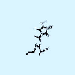 CC=COC(OC(C)N1C(=O)NC(O)C1O)C(C)O